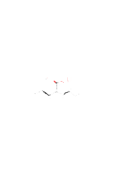 C/C=C/C(/C=C/CC)C(=O)O